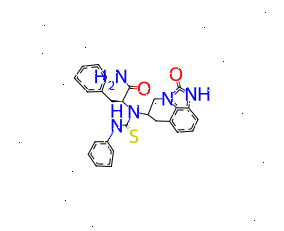 NC(=O)[C@H](Cc1ccccc1)N(C(=S)Nc1ccccc1)C1Cc2cccc3[nH]c(=O)n(c23)C1